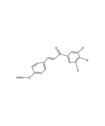 CCCCCCSc1ccc(/C=C/C(=O)c2cc(F)c(F)c(F)c2)cc1